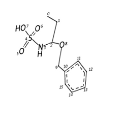 CCC(NS(=O)(=O)O)OCc1ccccc1